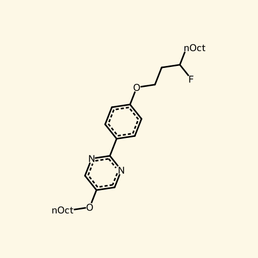 CCCCCCCCOc1cnc(-c2ccc(OCCC(F)CCCCCCCC)cc2)nc1